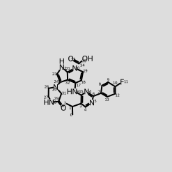 CC(C)c1cnc(-c2ccc(F)cc2)nc1Nc1ccnc2[nH]cc(N3CCNC(=O)C3)c12.O=CO